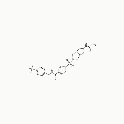 C=CC(=O)NC1CC2CN(S(=O)(=O)c3ccc(C(=O)NCc4ccc(C(C)(C)C)cc4)cc3)CC2C1